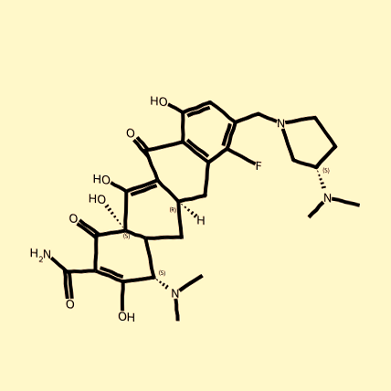 CN(C)[C@H]1CCN(Cc2cc(O)c3c(c2F)C[C@H]2CC4[C@H](N(C)C)C(O)=C(C(N)=O)C(=O)[C@@]4(O)C(O)=C2C3=O)C1